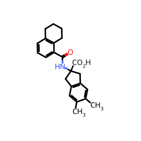 Cc1cc2c(cc1C)CC(NC(=O)c1cccc3c1CCCC3)(C(=O)O)C2